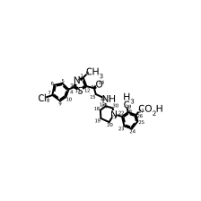 Cc1nc(-c2ccc(Cl)cc2)sc1C(=O)CN[C@H]1CCCN(c2cccc(C(=O)O)c2C)C1